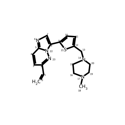 C=Cc1ccc2ncc(-c3ccc(CN4CCN(C)CC4)s3)n2n1